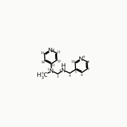 CN(CNCc1cccnc1)c1ccncc1